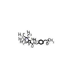 C/C(N)=C(\C)c1c(N)sc(C(=O)NCc2ccc(C[S+](C)[O-])cc2)c1N